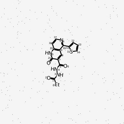 CCC(=O)NNC(=O)c1cc2c(-c3cccs3)nccc2[nH]c1=O